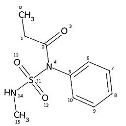 CCC(=O)N(c1ccccc1)S(=O)(=O)NC